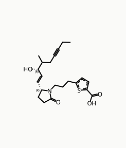 CCC#CCC(C)[C@@H](O)C=C[C@H]1CCC(=O)N1CCCc1ccc(C(=O)O)s1